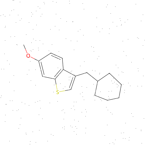 COc1ccc2c(CC3CCCCC3)csc2c1